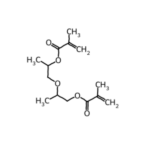 C=C(C)C(=O)OCC(C)OCC(C)OC(=O)C(=C)C